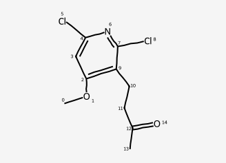 COc1cc(Cl)nc(Cl)c1CCC(C)=O